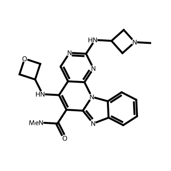 CNC(=O)c1c(NC2COC2)c2cnc(NC3CN(C)C3)nc2n2c1nc1ccccc12